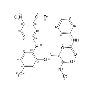 CCNC(=O)C(C)OC(=O)Nc1ccccc1.CCOc1cc(Oc2ccc(C(F)(F)F)cc2Cl)ccc1[N+](=O)[O-]